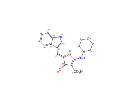 O=C(O)C1=C(NC2CCOCC2)OC(=Cc2c[nH]c3ncccc23)C1=O